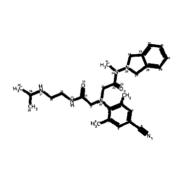 Cc1cc(C#N)cc(C)c1N(CC(=O)NCCNC(C)C)CC(=O)N(C)N1Cc2ccccc2C1